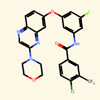 O=C(Nc1cc(F)cc(Oc2ccc3ncc(N4CCOCC4)nc3c2)c1)c1ccc(Cl)c(C(F)(F)F)c1